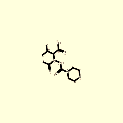 CC(=O)N(NC(=O)N1CCOCC1)C(C(=O)O)C(C)C